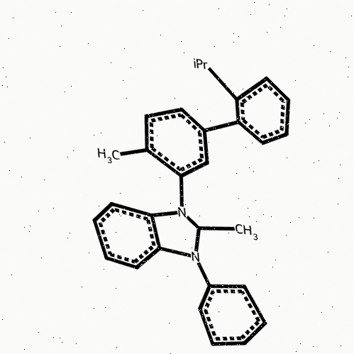 Cc1ccc(-c2ccccc2C(C)C)cc1N1c2ccccc2N(c2ccccc2)C1C